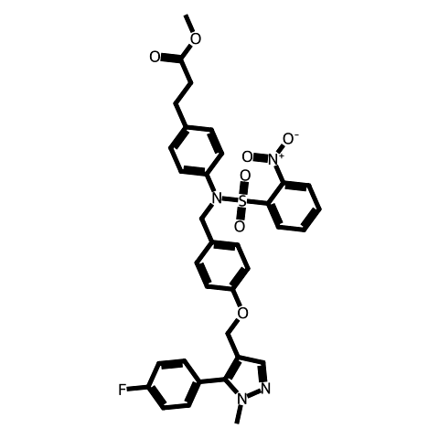 COC(=O)CCc1ccc(N(Cc2ccc(OCc3cnn(C)c3-c3ccc(F)cc3)cc2)S(=O)(=O)c2ccccc2[N+](=O)[O-])cc1